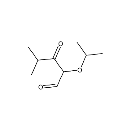 CC(C)OC(C=O)C(=O)C(C)C